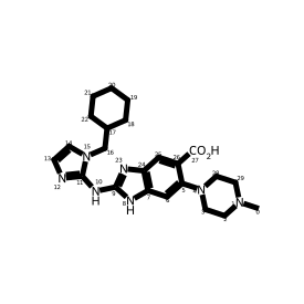 CN1CCN(c2cc3[nH]c(Nc4nccn4CC4CCCCC4)nc3cc2C(=O)O)CC1